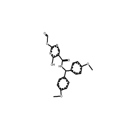 COc1ccc(C(NC(=O)c2cnc(OC=O)nc2O)c2ccc(OC)cc2)cc1